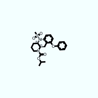 CC(C)OC(=O)N1CCC[C@@H](NS(C)(=O)=O)[C@H]1Cc1ccccc1Oc1ccccc1